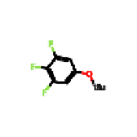 CC(C)(C)Oc1cc(F)c(F)c(F)c1